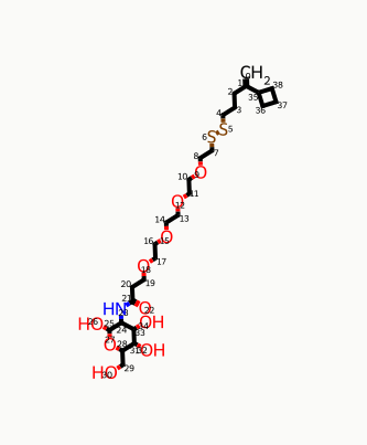 C=C(CCCSSCCOCCOCCOCCOCCC(=O)NC1C(O)OC(CO)C(O)C1O)C1CCC1